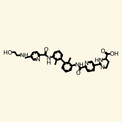 Cc1c(NC(=O)c2ccc(CNCCO)cn2)cccc1-c1cccc(NC(=O)c2ccc(C3=NCCC(C(=O)O)N3)cn2)c1C